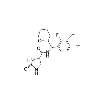 CCc1c(F)ccc(C(NC(=O)C2CNC(=O)N2)C2CCCCO2)c1F